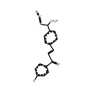 [N-]=[N+]=NC(C(=O)O)c1ccc(C=CC(=O)c2ccc(F)cc2)cc1